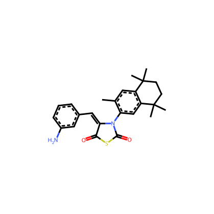 Cc1cc2c(cc1N1C(=O)SC(=O)C1=Cc1cccc(N)c1)C(C)(C)CCC2(C)C